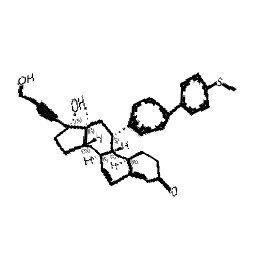 CSc1ccc(-c2ccc([C@H]3C[C@@]4(C)[C@@H](CC[C@@]4(O)C#CCO)[C@@H]4C=CC5=CC(=O)CC[C@@H]5[C@H]43)cc2)cc1